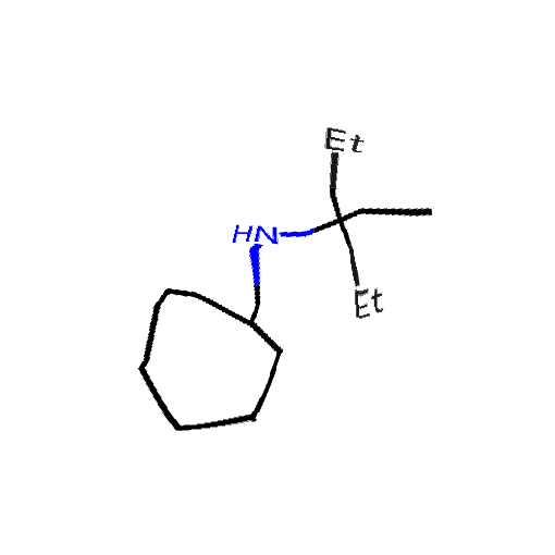 CCC(C)(CC)NC1CCCCC1